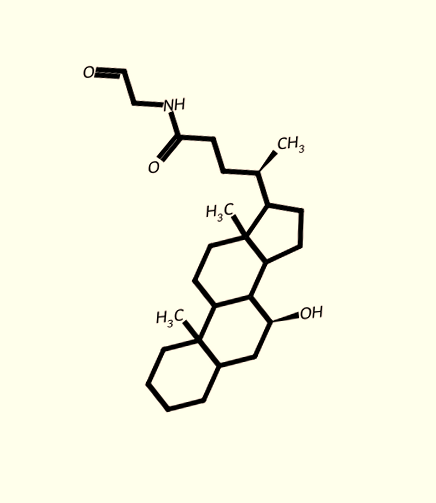 C[C@H](CCC(=O)NCC=O)C1CCC2C3C(CCC21C)C1(C)CCCCC1C[C@@H]3O